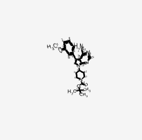 COc1cccc(-c2cn(C3CCN(C(=O)OC(C)(C)C)CC3)c3ncnc(N)c23)c1